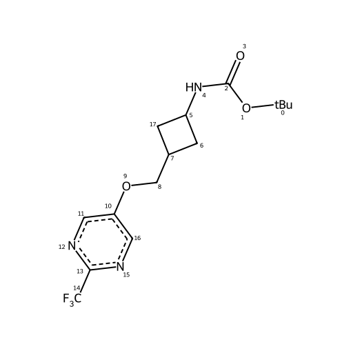 CC(C)(C)OC(=O)NC1CC(COc2cnc(C(F)(F)F)nc2)C1